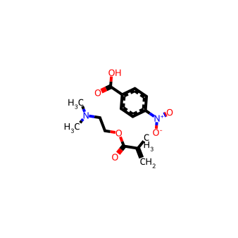 C=C(C)C(=O)OCCN(C)C.O=C(O)c1ccc([N+](=O)[O-])cc1